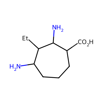 CCC1C(N)CCCC(C(=O)O)C1N